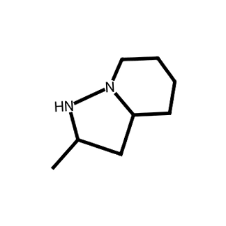 CC1CC2CCCCN2N1